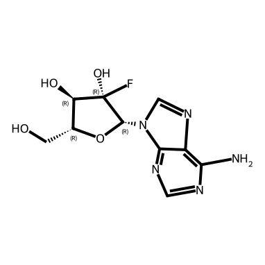 Nc1ncnc2c1ncn2[C@@H]1O[C@H](CO)[C@@H](O)[C@@]1(O)F